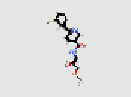 CCOCC(O)CNC(=O)c1ccc(-c2cccc(F)c2)nc1